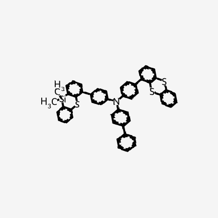 C[Si]1(C)c2ccccc2Sc2c(-c3ccc(N(c4ccc(-c5ccccc5)cc4)c4ccc(-c5cccc6c5Sc5ccccc5S6)cc4)cc3)cccc21